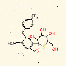 C#Cc1cc2c(cc1Cc1ccc(C(F)(F)F)cc1)[C@]1(OC2)S[C@H](CO)[C@@H](O)[C@H](O)[C@H]1O